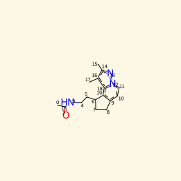 CC(=O)NCCC1CCc2ccn3nc(C)c(C)c3c21